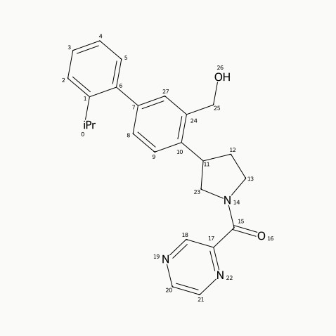 CC(C)c1ccccc1-c1ccc(C2CCN(C(=O)c3cnccn3)C2)c(CO)c1